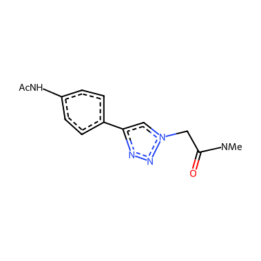 CNC(=O)Cn1cc(-c2ccc(NC(C)=O)cc2)nn1